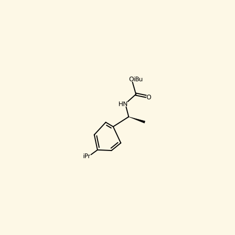 CC(C)COC(=O)N[C@@H](C)c1ccc(C(C)C)cc1